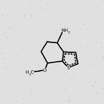 COC1CCC(N)c2ccsc21